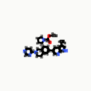 Cc1c[nH]c2ncc(-c3cc4c(c([C@@H]5CCCN5C(=O)OC(C)(C)C)c3)CN(c3ccncn3)CC4)cc12